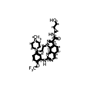 CN1CCN(c2ccc(OC(F)(F)F)c(Nc3ncc4ccc5c(C(=O)NOCCO)nn(CCF)c5c4n3)c2)CC1